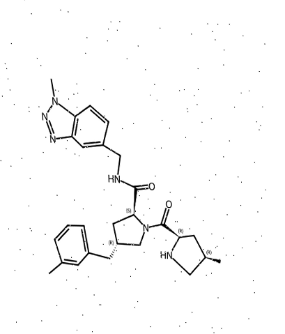 Cc1cccc(C[C@@H]2C[C@@H](C(=O)NCc3ccc4c(c3)nnn4C)N(C(=O)[C@H]3C[C@@H](C)CN3)C2)c1